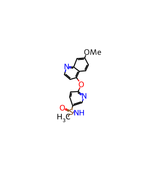 COc1ccc2c(Oc3ccc(S(C)(=N)=O)cn3)ccnc2c1